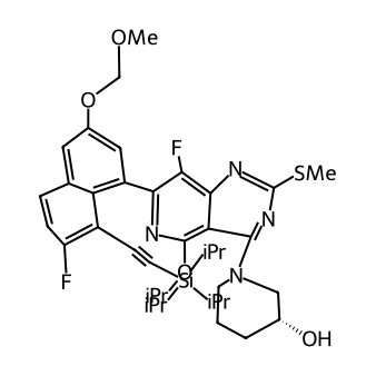 COCOc1cc(-c2nc(OC(C)C)c3c(N4CCC[C@@H](O)C4)nc(SC)nc3c2F)c2c(C#C[Si](C(C)C)(C(C)C)C(C)C)c(F)ccc2c1